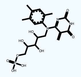 C=C1C(=O)NC(=O)N=C1N(CC(O)C(O)C(O)COP(=O)(O)O)c1cc(C)c(C)cc1C